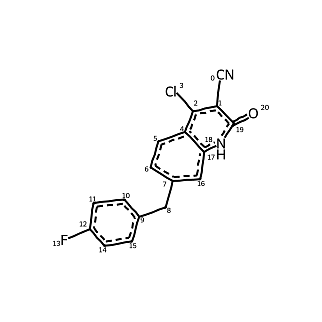 N#Cc1c(Cl)c2ccc(Cc3ccc(F)cc3)cc2[nH]c1=O